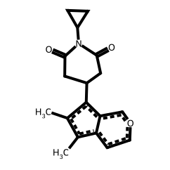 Cc1c2ccocc-2c(C2CC(=O)N(C3CC3)C(=O)C2)c1C